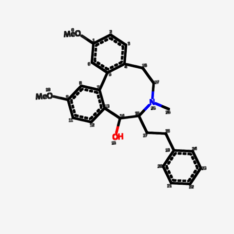 COc1ccc2c(c1)-c1cc(OC)ccc1C(O)C(CCc1ccccc1)N(C)CC2